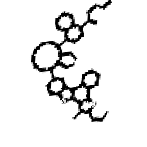 C=C/C=C\C(=C)c1ccc(-c2ccccccc(-c3ccc4sc5c6c(C)c(/C=C\C)oc6c6ccccc6c5c4c3)c(=C/C)/c2=C\C)c2ccccc12